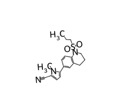 CCCS(=O)(=O)N1CCCc2cc(-c3ccc(C#N)n3C)ccc21